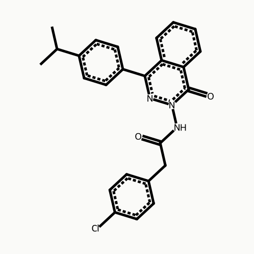 CC(C)c1ccc(-c2nn(NC(=O)Cc3ccc(Cl)cc3)c(=O)c3ccccc23)cc1